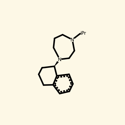 CC(C)N1CCCN([C@@H]2CCCc3ccccc32)CC1